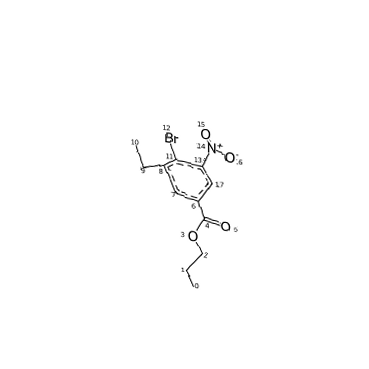 CCCOC(=O)c1cc(CC)c(Br)c([N+](=O)[O-])c1